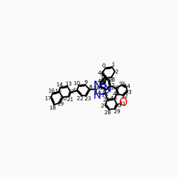 C1=CCCC(c2nc(-c3ccc(-c4ccc5ccccc5c4)cc3)nc(-c3cccc4oc5cccc(-c6ccccc6)c5c34)n2)=C1